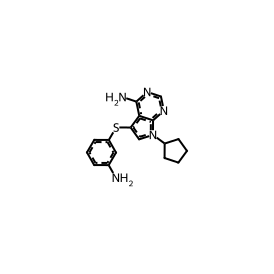 Nc1cccc(Sc2cn(C3CCCC3)c3ncnc(N)c23)c1